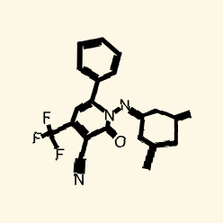 C=C1CC(=C)CC(=Nn2c(-c3ccccc3)cc(C(F)(F)F)c(C#N)c2=O)C1